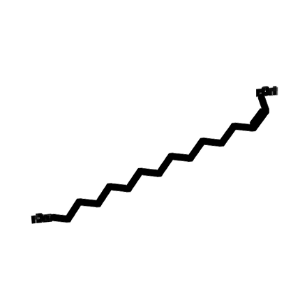 CCCCCCCC/C=C\CCCCCCCCCCCCCCCCCCCCCC